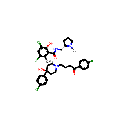 CCN1CCC[C@H]1CNC(=O)c1c(O)c(Cl)cc(Cl)c1OC.O=C(CCCN1CCC(O)(c2ccc(Cl)cc2)CC1)c1ccc(F)cc1